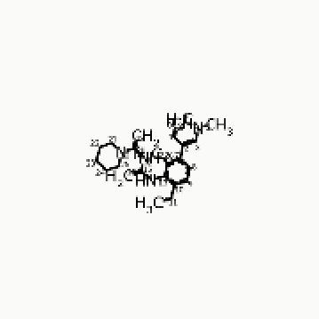 C=C/C(=C\N(C)C)c1ccc(CC)c(NC(=C)NC(=C)N2CCCCC2)c1C